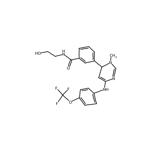 CN1C=NC(Nc2ccc(OC(F)(F)F)cc2)=CC1c1cccc(C(=O)NCCO)c1